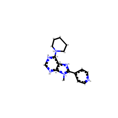 Cn1c(-c2ccncc2)nc2c(N3CC[CH]CC3)ncnc21